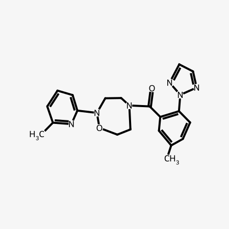 Cc1ccc(-n2nccn2)c(C(=O)N2CCON(c3cccc(C)n3)CC2)c1